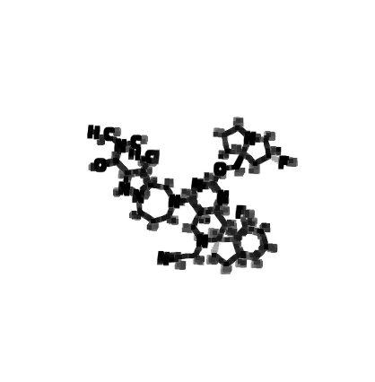 CN(C)C(=O)c1nn2c(c1Cl)CN(c1nc(OC[C@@]34CCCN3C[C@H](F)C4)nc3c1CN(CC#N)[C@@]1(CCc4cccc(F)c41)C3)CCC2